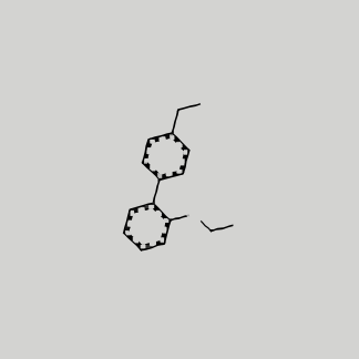 CCOc1c[c]ccc1-c1ccc(CC)cc1